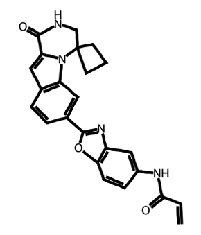 C=CC(=O)Nc1ccc2oc(-c3ccc4cc5n(c4c3)C3(CCC3)CNC5=O)nc2c1